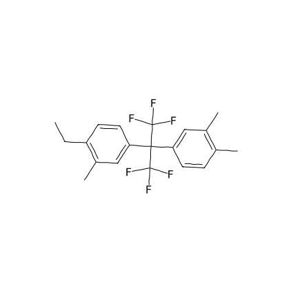 CCc1ccc(C(c2ccc(C)c(C)c2)(C(F)(F)F)C(F)(F)F)cc1C